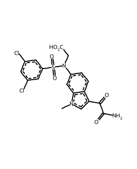 Cn1cc(C(=O)C(N)=O)c2ccc(N(CC(=O)O)S(=O)(=O)c3cc(Cl)cc(Cl)c3)cc21